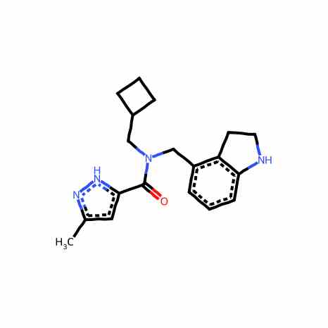 Cc1cc(C(=O)N(Cc2cccc3c2CCN3)CC2CCC2)[nH]n1